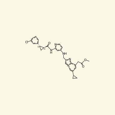 COC(=O)Cc1cc(C2CC2)cn2cc(CNc3ccnc(NC(=O)[C@H]4C[C@@H]4c4cccc(Cl)c4)c3)nc12